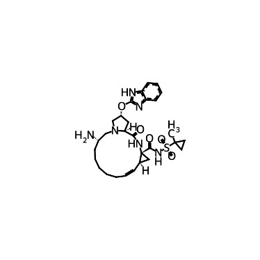 CC1(S(=O)(=O)NC(=O)[C@@]23C[C@H]2/C=C\CCCCC[C@H](N)CN2C[C@H](Oc4nc5ccccc5[nH]4)C[C@H]2C(=O)N3)CC1